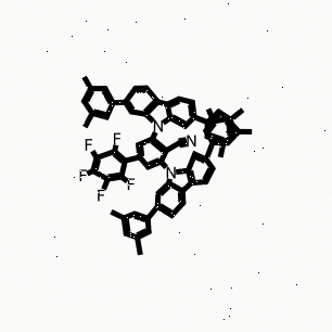 Cc1cc(C)cc(-c2ccc3c4ccc(-c5cc(C)cc(C)c5)cc4n(-c4cc(-c5c(F)c(F)c(F)c(F)c5F)cc(-n5c6cc(-c7cc(C)cc(C)c7)ccc6c6ccc(-c7cc(C)cc(C)c7)cc65)c4C#N)c3c2)c1